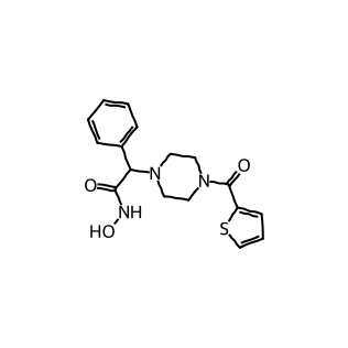 O=C(NO)C(c1ccccc1)N1CCN(C(=O)c2cccs2)CC1